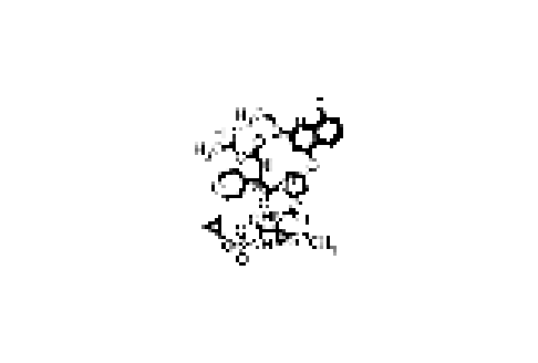 CCOc1cc(O[C@@H]2C[C@@H](C(=O)N[C@]3(C(=O)NS(=O)(=O)OC4CC4)C[C@H]3CC)N(C(=O)[C@@H](NC(=O)OC(C)C)C3CCOCC3)C2)c2cccc(Cl)c2n1